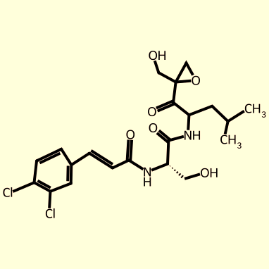 CC(C)CC(NC(=O)[C@H](CO)NC(=O)/C=C/c1ccc(Cl)c(Cl)c1)C(=O)C1(CO)CO1